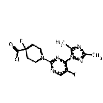 Cc1nc(C)n(-c2nc(N3CCC(F)(C(=O)Cl)CC3)ncc2F)n1